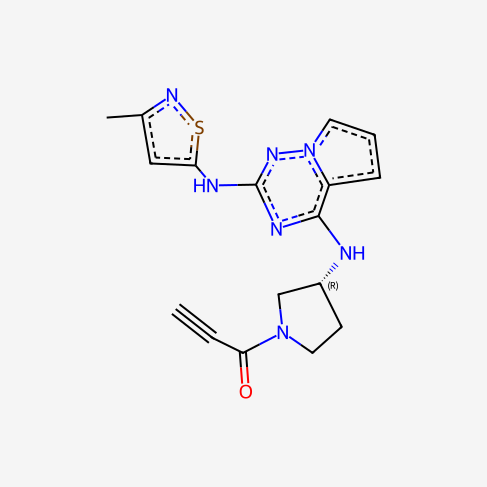 C#CC(=O)N1CC[C@@H](Nc2nc(Nc3cc(C)ns3)nn3cccc23)C1